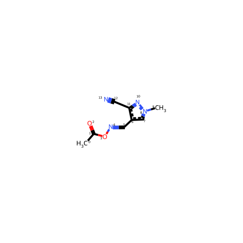 CC(=O)O/N=C/c1cn(C)nc1C#N